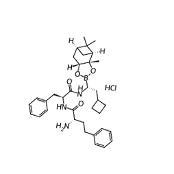 CC1(C)[C@@H]2C[C@H]3OB([C@H](CC4CCC4)NC(=O)[C@H](Cc4ccccc4)NC(=O)[C@@H](N)CCc4ccccc4)O[C@@]3(C)[C@H]1C2.Cl